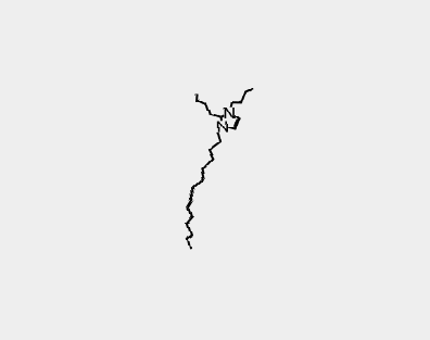 CCCCCCCCCCCCCCN1C=CN(CCCC)C1CCCC